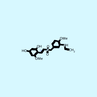 C=CNc1cc(CS(=O)(=O)/C=C/c2c(O)cc(O)cc2OC)ccc1OC